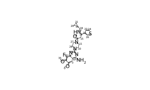 COc1cc2c(N)nc(N3CCN(C(=O)CC(NCC4CC4)c4ccsc4)CC3)nc2c(F)c1OC